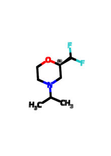 CC(C)N1CCO[C@@H](C(F)F)C1